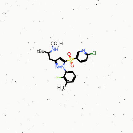 Cc1cccc(-n2nc(CC(NC(=O)O)C(C)(C)C)cc2S(=O)(=O)c2ccc(Cl)nc2)c1F